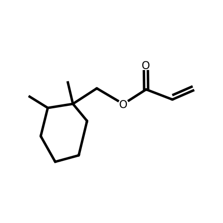 C=CC(=O)OCC1(C)CCCCC1C